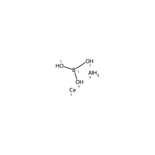 OB(O)O.[AlH3].[Ce]